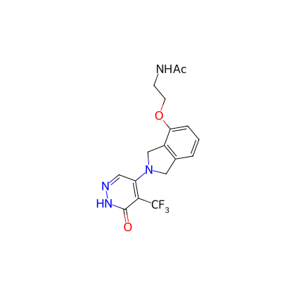 CC(=O)NCCOc1cccc2c1CN(c1cn[nH]c(=O)c1C(F)(F)F)C2